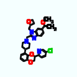 C=C(OC)c1ccc2nc(CN3CCC(c4cccc5c4OC(c4ccc(Cl)cn4)CO5)CC3)n(C[C@@H]3CCO3)c2c1